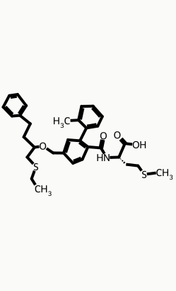 CCSCC(CCc1ccccc1)OCc1ccc(C(=O)N[C@@H](CCSC)C(=O)O)c(-c2ccccc2C)c1